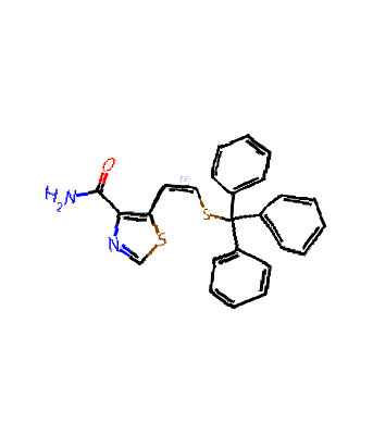 NC(=O)c1ncsc1/C=C\SC(c1ccccc1)(c1ccccc1)c1ccccc1